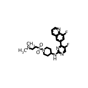 CN(C)CCS(=O)(=O)N1CCC(Nc2ncc(F)c(-c3cc(F)c4ncccc4c3)n2)CC1